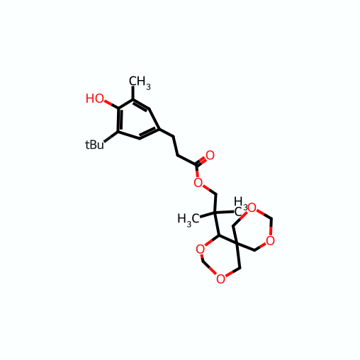 Cc1cc(CCC(=O)OCC(C)(C)C2OCOCC23COCOC3)cc(C(C)(C)C)c1O